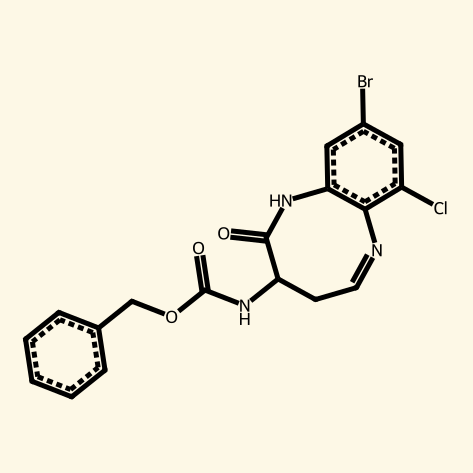 O=C(NC1CC=Nc2c(Cl)cc(Br)cc2NC1=O)OCc1ccccc1